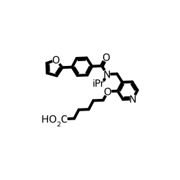 CC(C)N(Cc1ccncc1OCCCCCC(=O)O)C(=O)c1ccc(-c2ccco2)cc1